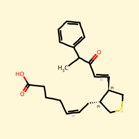 CC(C(=O)/C=C/[C@H]1CSC[C@@H]1C/C=C\CCCC(=O)O)c1ccccc1